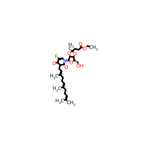 CCOC(=O)CCC1(C)OC2C(O1)[C@@H](CO)O[C@H]2N1C=C(F)C(=O)C(C/C=C(\C)CC/C=C(\C)CCC=C(C)C)C1=O